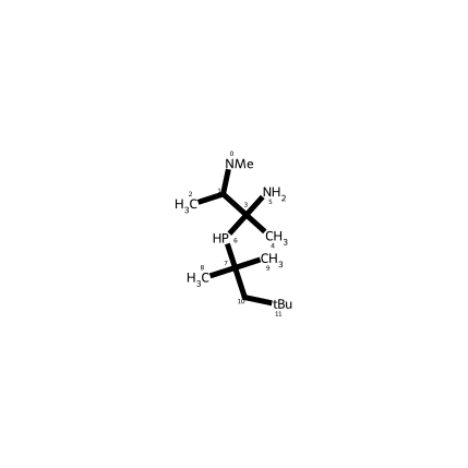 CNC(C)C(C)(N)PC(C)(C)CC(C)(C)C